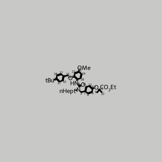 CCCCCCCN(Cc1ccc(OC(C)(C)C(=O)OCC)cc1)C(=O)Nc1ccc(OC)cc1OCc1ccc(C(C)(C)C)cc1